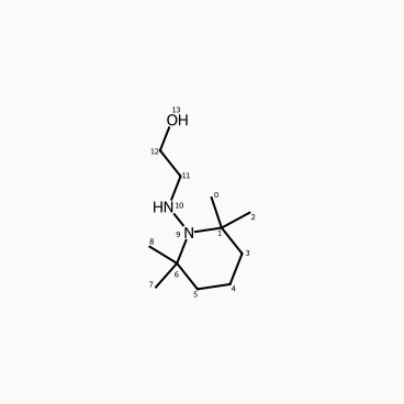 CC1(C)CCCC(C)(C)N1NCCO